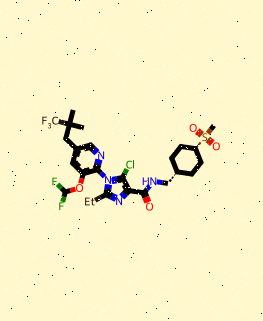 CCc1nc(C(=O)NC[C@H]2CC[C@@H](S(C)(=O)=O)CC2)c(Cl)n1-c1ncc(CC(C)(C)C(F)(F)F)cc1OC(F)F